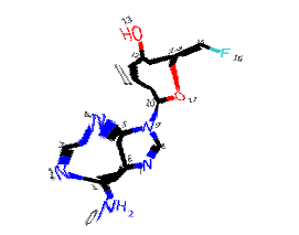 Nc1ncnc2c1ncn2[C@H]1CC(O)/C(=C/F)O1